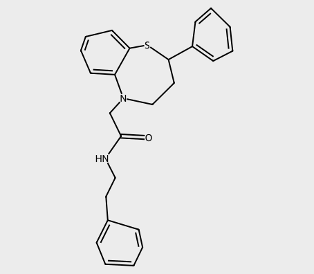 O=C(CN1CCC(c2ccccc2)Sc2ccccc21)NCCc1ccccc1